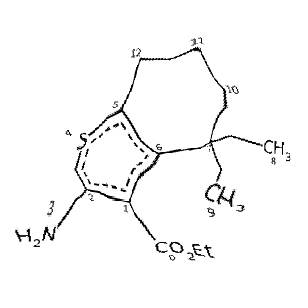 CCOC(=O)c1c(N)sc2c1C(C)(C)CCC2